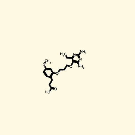 CCc1nc(N)nc(N)c1OCCCOc1cc(OC)ccc1CCC(=O)O